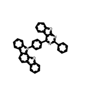 c1ccc(-c2nc(-c3ccc(-n4c5ccccc5c5ccc6c7ccccc7oc6c54)cc3)c3c(n2)oc2ccccc23)cc1